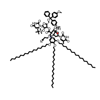 CCCCCCCCCCCCCCCCCCOc1cc(CC(CC(=O)O)(C(=O)O[C@H]2[C@@H](O[Si](C)(C)C(C)(C)C)[C@H](n3ccc(=O)[nH]c3=O)O[C@@H]2COC(c2ccccc2)(c2ccc(OC)cc2)c2ccc(OC)cc2)[C@@]2(/P=[O+]/CCC#N)C[C@H](n3cc(C)c(=O)[nH]c3=O)O[C@@H]2CO)cc(OCCCCCCCCCCCCCCCCCC)c1OCCCCCCCCCCCCCCCCCC